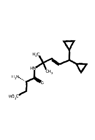 CC(C)(C=CC(C1CC1)C1CC1)NC(=O)[C@@H](N)CC(=O)O